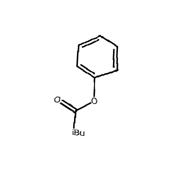 C[CH]C(C)C(=O)Oc1ccccc1